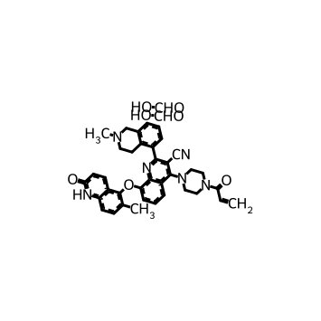 C=CC(=O)N1CCN(c2c(C#N)c(-c3cccc4c3CCN(C)C4)nc3c(Oc4c(C)ccc5[nH]c(=O)ccc45)cccc23)CC1.O=CO.O=CO